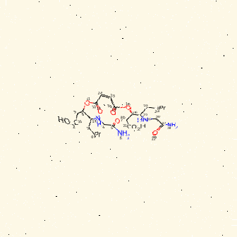 CC(C)CC(NCC(N)=O)C(CC(=O)O)OC(=O)/C=C\C(=O)OC(CC(=O)O)C(CC(C)C)NCC(N)=O